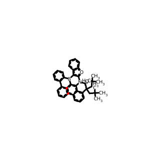 CC(C)(C)CC1(CC(C)(C)C)C(=O)N2c3oc4ccccc4c3B(c3ccccc3-c3ccccc3)c3ccc4cccc1c4c32